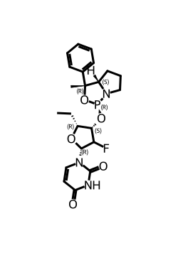 CC[C@H]1O[C@@H](n2ccc(=O)[nH]c2=O)C(F)[C@H]1O[P@@]1O[C@](C)(c2ccccc2)[C@@H]2CCCN21